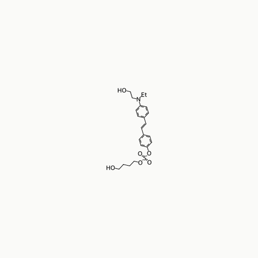 CCN(CCO)c1ccc(/C=C/c2ccc(OS(=O)(=O)OCCCCO)cc2)cc1